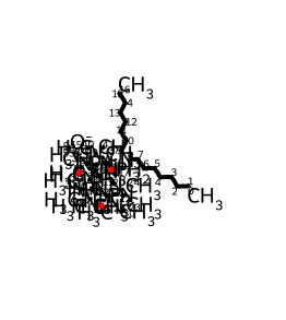 CCCCCCCCN(CCCCCCCC)[PH2]=N[P+](N=P(N(C)C)(N(C)C)N(C)C)(N=P(N(C)C)(N(C)C)N(C)C)N=P(N(C)C)(N(C)C)N(C)C.CC[O-]